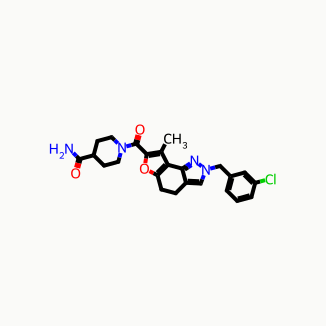 Cc1c(C(=O)N2CCC(C(N)=O)CC2)oc2c1-c1nn(Cc3cccc(Cl)c3)cc1CC2